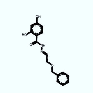 O=C(NN=CCOCc1ccccc1)c1ccc(O)cc1O